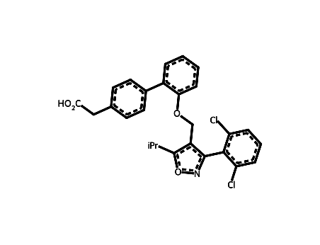 CC(C)c1onc(-c2c(Cl)cccc2Cl)c1COc1ccccc1-c1ccc(CC(=O)O)cc1